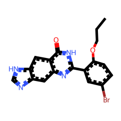 CCCOc1ccc(Br)cc1-c1nc2cc3nc[nH]c3cc2c(=O)[nH]1